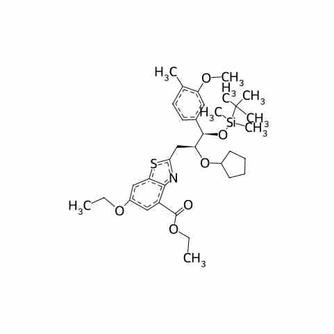 CCOC(=O)c1cc(OCC)cc2sc(C[C@H](OC3CCCC3)[C@H](O[Si](C)(C)C(C)(C)C)c3ccc(C)c(OC)c3)nc12